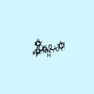 O=C(CCOc1ccncc1)Nc1nc([C@H]2CC(F)(F)CN2c2ccccc2)cs1